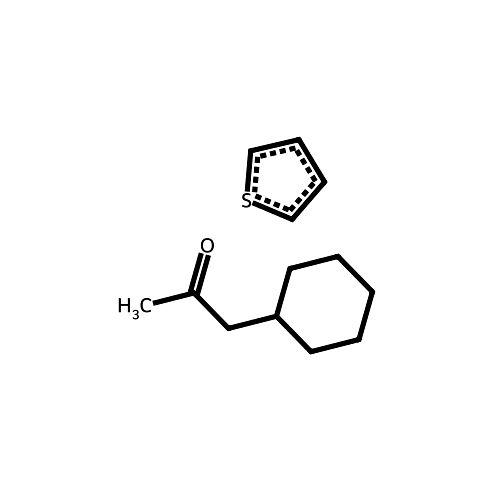 CC(=O)CC1CCCCC1.c1ccsc1